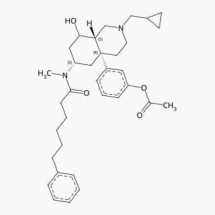 CC(=O)Oc1cccc([C@@]23CCN(CC4CC4)C[C@H]2C(O)C[C@@H](N(C)C(=O)CCCCCc2ccccc2)C3)c1